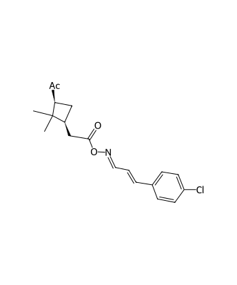 CC(=O)[C@H]1C[C@@H](CC(=O)ON=CC=Cc2ccc(Cl)cc2)C1(C)C